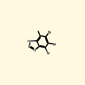 Cc1c(Br)c(Br)c(Br)c2nn[nH]c12